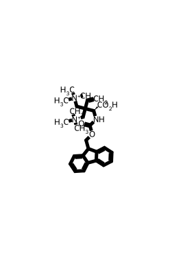 C=CC(C[N+](C)(C)C)(C[N+](C)(C)C)[C@@H](NC(=O)OCC1c2ccccc2-c2ccccc21)C(=O)O